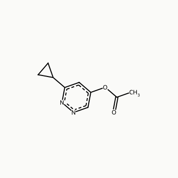 CC(=O)Oc1cnnc(C2CC2)c1